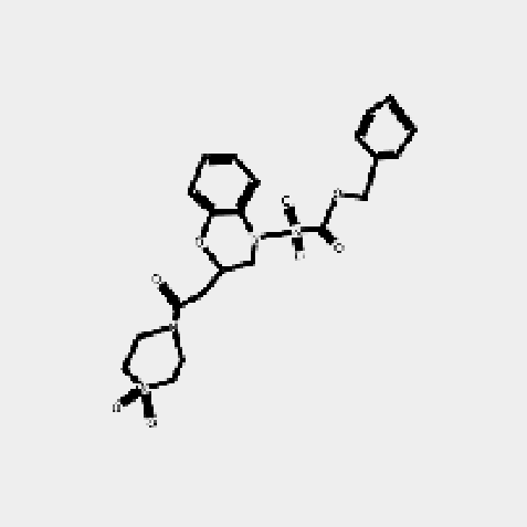 O=C(CC1CN(S(=O)(=O)C(=O)OCc2ccccc2)c2ccccc2O1)N1CCS(=O)(=O)CC1